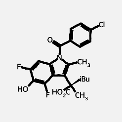 CCC(C)[C@@](C)(C(=O)O)c1c(C)n(C(=O)c2ccc(Cl)cc2)c2cc(F)c(O)c(F)c12